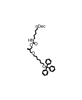 C=C(COCCCCCCOC(c1ccccc1)(c1ccccc1)c1ccccc1)COC(=O)NCCCCCCCCCCCCCCC